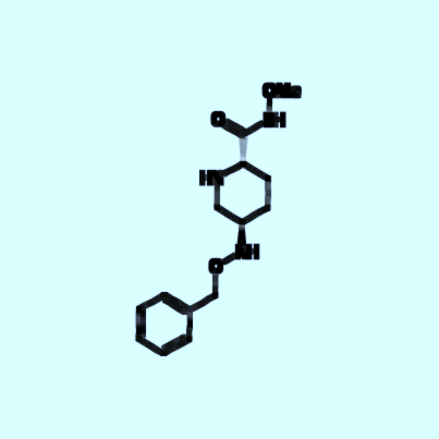 COBC(=O)[C@@H]1CC[C@@H](NOCc2ccccc2)CN1